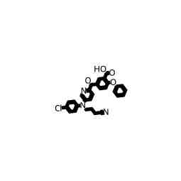 N#CCCCN(c1ccc(Cl)cc1)c1ccc(C(=O)c2ccc(Oc3ccccc3)c(C(=O)O)c2)nc1